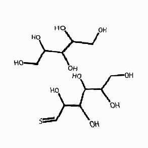 OCC(O)C(O)C(O)C(O)C=S.OCC(O)C(O)C(O)CO